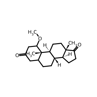 COC1CC(=O)CC2CC[C@@H]3[C@H](CC[C@]4(C)C(=O)CC[C@@H]34)[C@]21C